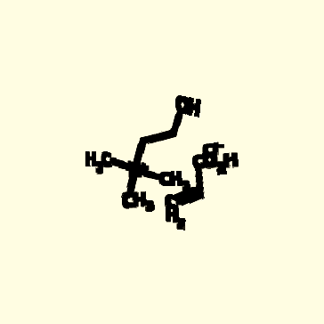 C=CC(=O)O.C[N+](C)(C)CCO.[Cl-]